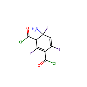 NC1(I)C=C(I)C(C(=O)Cl)=C(I)C1C(=O)Cl